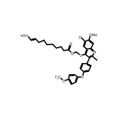 CCCCCCCC/C=C/CCCCCCCC(=O)OCOc1c(-c2ccc(Oc3ccc(OC(F)(F)F)cc3)cc2)c(C)nc2cc(OC)c(Cl)cc12